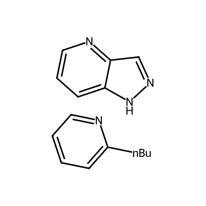 CCCCc1ccccn1.c1cnc2cn[nH]c2c1